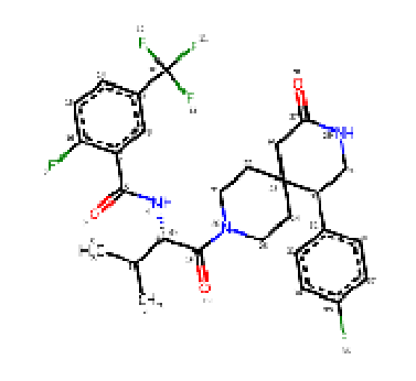 CC(C)[C@H](NC(=O)c1cc(C(F)(F)F)ccc1F)C(=O)N1CCC2(CC1)CC(=O)NCC2c1ccc(F)cc1